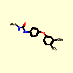 CCCCCNC(=O)Nc1ccc(Oc2ccc([N+](=O)[O-])c(OC)c2)cc1